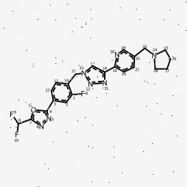 Fc1cc(-c2nnc(C(F)F)o2)ccc1Cn1cc(-c2ccc(CN3CCCC3)cn2)nn1